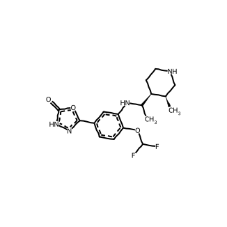 CC(Nc1cc(-c2n[nH]c(=O)o2)ccc1OC(F)F)[C@H]1CCNC[C@H]1C